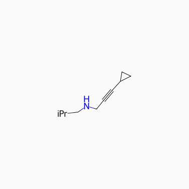 CC(C)CNCC#CC1CC1